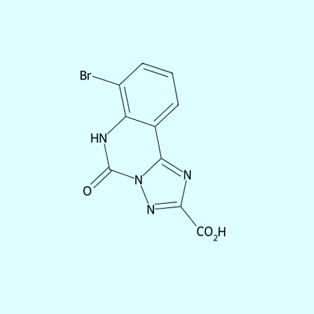 O=C(O)c1nc2c3cccc(Br)c3[nH]c(=O)n2n1